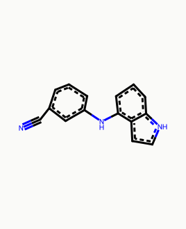 N#Cc1cccc(Nc2cccc3[nH]ccc23)c1